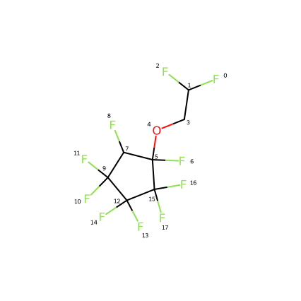 FC(F)COC1(F)C(F)C(F)(F)C(F)(F)C1(F)F